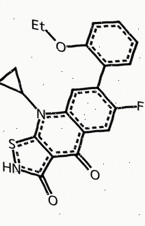 CCOc1ccccc1-c1cc2c(cc1F)c(=O)c1c(=O)[nH]sc1n2C1CC1